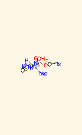 Cc1cc(N(CCCCN=[N+]=[N-])c2nc(C(=O)O)c(CCCOc3ccc(C#CCN(C)C)cc3F)s2)nnc1Nc1nc2ccccc2s1